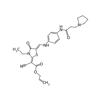 C=CCOC(=O)C(C#N)=c1sc(=CNc2ccc(NC(=O)CCN3CCCC3)cc2)c(=O)n1CC